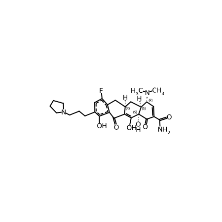 CN(C)[C@@H]1C=C(C(N)=O)C(=O)[C@@]2(O)C(O)=C3C(=O)c4c(O)c(CCCN5CCCC5)cc(F)c4C[C@H]3C[C@@H]12